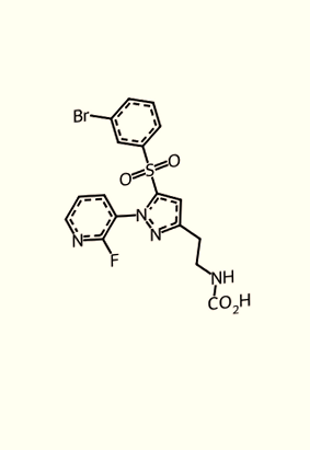 O=C(O)NCCc1cc(S(=O)(=O)c2cccc(Br)c2)n(-c2cccnc2F)n1